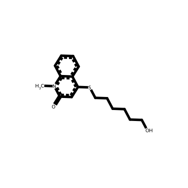 Cn1c(=O)cc(SCCCCCCO)c2ccccc21